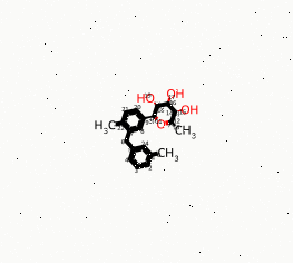 Cc1cccc(Cc2cc([C@@H]3O[C@H](C)[C@@H](O)[C@H](O)[C@H]3O)ccc2C)c1